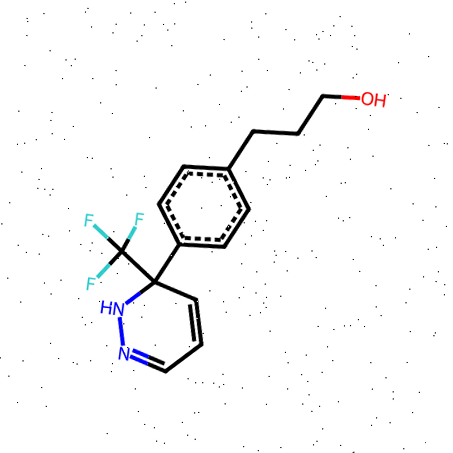 OCCCc1ccc(C2(C(F)(F)F)C=CC=NN2)cc1